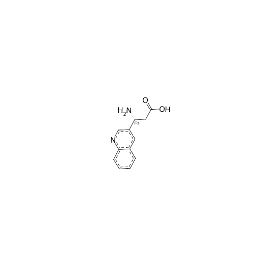 N[C@H](CC(=O)O)c1cnc2ccccc2c1